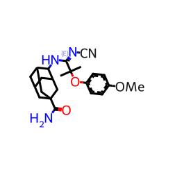 COc1ccc(OC(C)(C)/C(=N\C#N)NC2C3CC4CC2CC(C(N)=O)(C4)C3)cc1